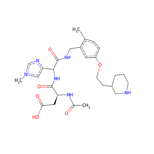 CC(=O)N[C@@H](CC(=O)O)C(=O)NC(C(=O)NCc1cc(OCCC2CCCNC2)ccc1C)c1cn(C)cn1